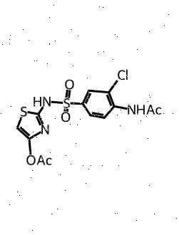 CC(=O)Nc1ccc(S(=O)(=O)Nc2nc(OC(C)=O)cs2)cc1Cl